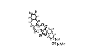 CNC(=O)Nc1ccc2c(c1)CC[C@@]21OC(=O)N(CC(=O)N2Cc3cc(F)c(F)cc3CCC2C2CC2)C1=O